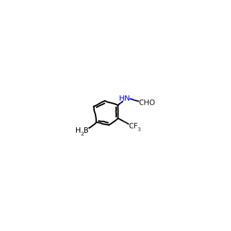 Bc1ccc(NC=O)c(C(F)(F)F)c1